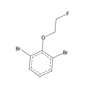 FCCOc1c(Br)c[c]cc1Br